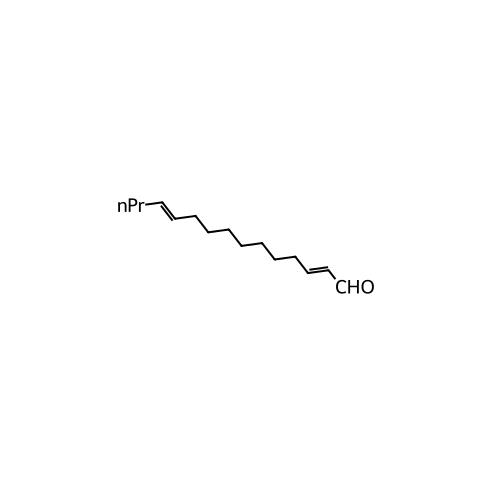 CCC/C=C/CCCCCCC/C=C/C=O